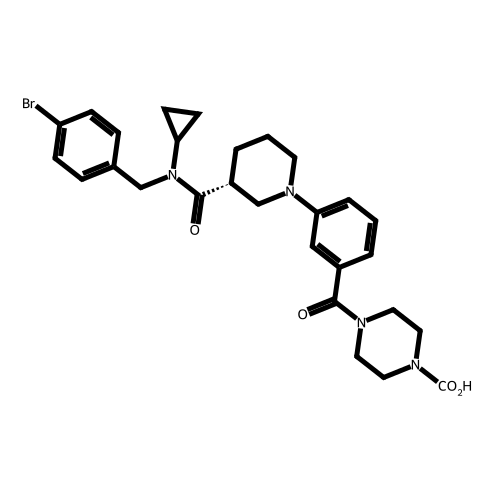 O=C(O)N1CCN(C(=O)c2cccc(N3CCC[C@@H](C(=O)N(Cc4ccc(Br)cc4)C4CC4)C3)c2)CC1